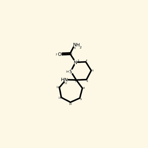 NC(=O)N1CCCC2(CCCCCN2)S1